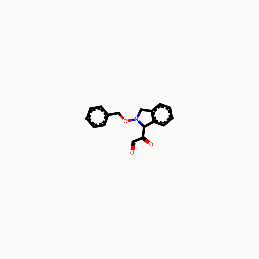 O=CC(=O)C1c2ccccc2CN1OCc1ccccc1